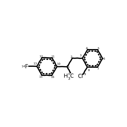 C[C](Cc1ccccc1Cl)c1ccc(F)cc1